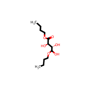 CCCCOC(=O)[C@H](O)[C@H](O)C(O)OCCCC